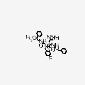 C[C@H](CNC(=O)CN(Cc1ccc(F)cc1)C(=O)[C@H](Cc1c[nH]cn1)NC(=O)OCc1ccccc1)c1ccccc1